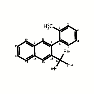 Cc1ccccc1-c1cc2ccccc2cc1C(F)(F)F